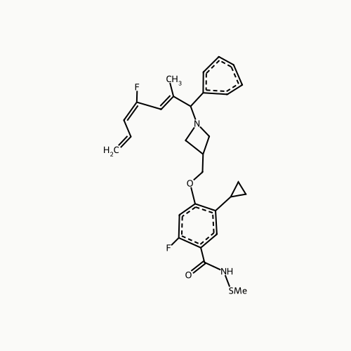 C=C/C=C(F)\C=C(/C)C(c1ccccc1)N1CC(COc2cc(F)c(C(=O)NSC)cc2C2CC2)C1